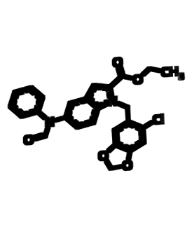 CCOC(=O)c1cc2cc(N(C=O)c3ccccc3)ccc2n1Cc1cc2c(cc1Cl)OCO2